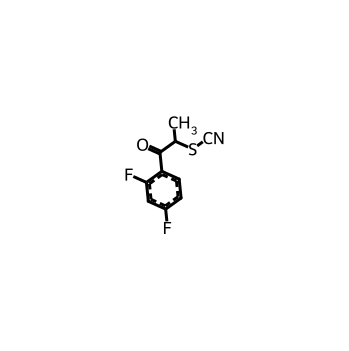 CC(SC#N)C(=O)c1ccc(F)cc1F